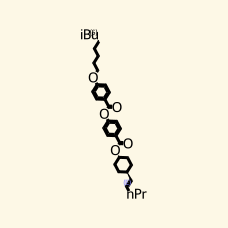 CCC/C=C/[C@H]1CC[C@H](OC(=O)c2ccc(OC(=O)c3ccc(OCCCCC[C@@H](C)CC)cc3)cc2)CC1